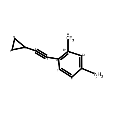 Nc1ccc(C#CC2CC2)c(C(F)(F)F)c1